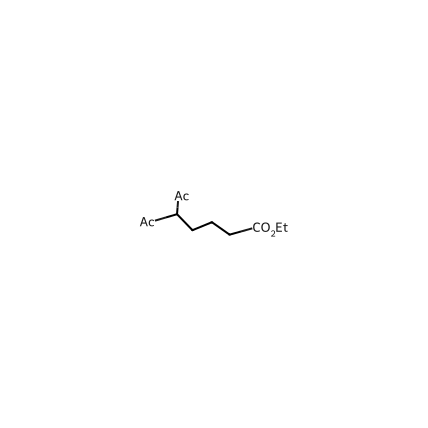 CCOC(=O)CCCC(C(C)=O)C(C)=O